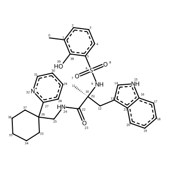 Cc1cccc(S(=O)(=O)N[C@@](C)(Cc2c[nH]c3ccccc23)C(=O)NCC2(c3ccccn3)CCCCC2)c1O